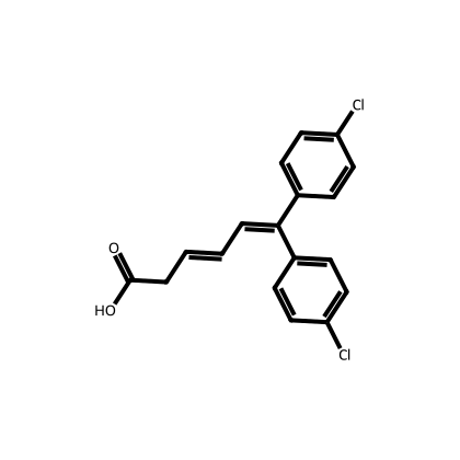 O=C(O)C/C=C/C=C(c1ccc(Cl)cc1)c1ccc(Cl)cc1